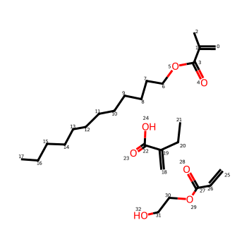 C=C(C)C(=O)OCCCCCCCCCCCC.C=C(CC)C(=O)O.C=CC(=O)OCCO